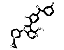 Nc1ncnc2c1c(-c1ccc(C(=O)c3cccc(F)c3)cc1F)nn2C1CCCN([C]2CO2)C1